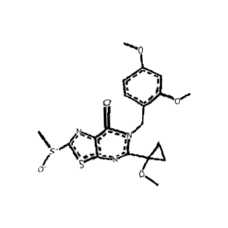 COc1ccc(Cn2c(C3(OC)CC3)nc3sc([S+](C)[O-])nc3c2=O)c(OC)c1